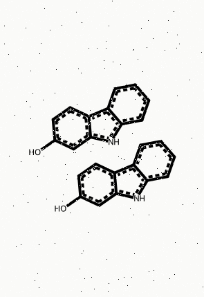 Oc1ccc2c(c1)[nH]c1ccccc12.Oc1ccc2c(c1)[nH]c1ccccc12